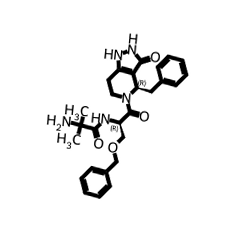 CC(C)(N)C(=O)N[C@H](COCc1ccccc1)C(=O)N1CCc2[nH][nH]c(=O)c2[C@H]1Cc1ccccc1